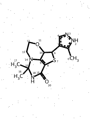 Cc1[nH]ncc1C1SC2=C3C1OCCN3C(C)(C)NC2=O